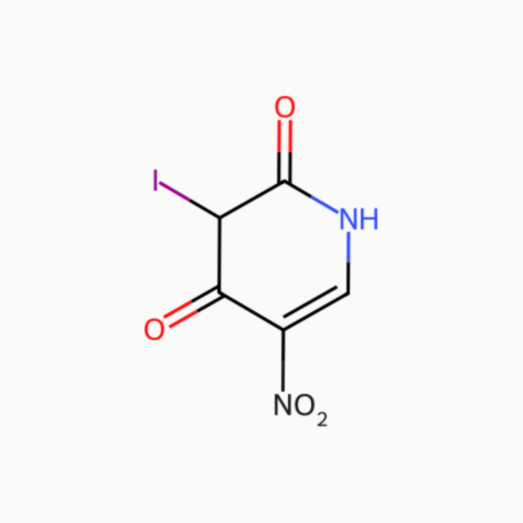 O=C1NC=C([N+](=O)[O-])C(=O)C1I